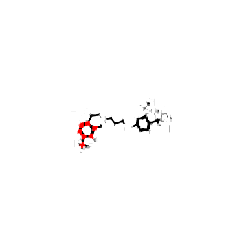 CC(CN(CCCOc1cc(F)c(C(C)(C)O)c(S(C)(=O)=O)c1)Cc1cccc(C(F)(F)F)c1Cl)c1ccc(F)cc1